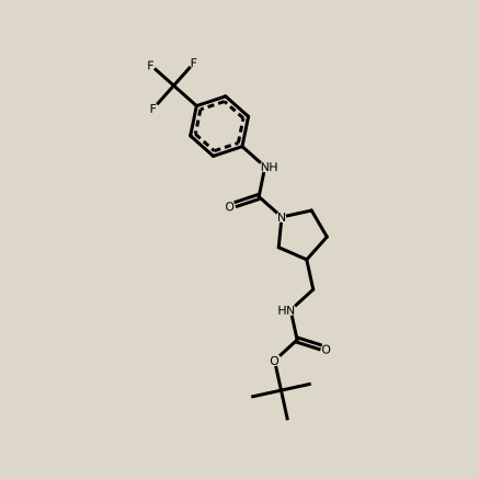 CC(C)(C)OC(=O)NCC1CCN(C(=O)Nc2ccc(C(F)(F)F)cc2)C1